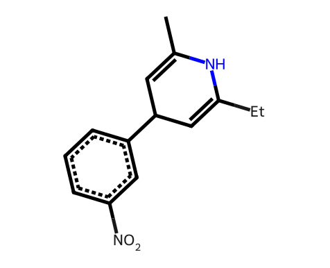 CCC1=CC(c2cccc([N+](=O)[O-])c2)C=C(C)N1